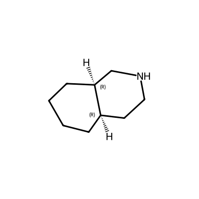 C1CC[C@H]2CNCC[C@H]2C1